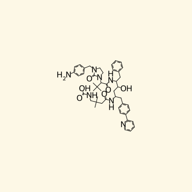 CC(C)(CNC(=O)O)CC(=O)NC(Cc1ccc(-c2ccccn2)cc1)CC(O)C(Cc1ccccc1)NC(=O)C(N1CCN(Cc2ccc(N)cc2)C1=O)C(C)(C)C